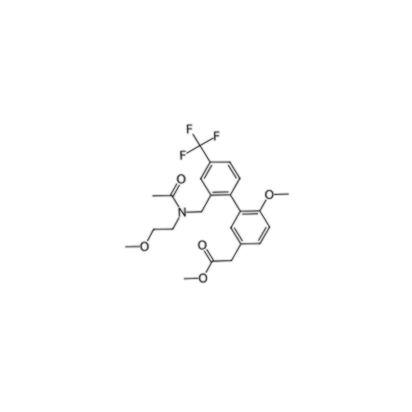 COCCN(Cc1cc(C(F)(F)F)ccc1-c1cc(CC(=O)OC)ccc1OC)C(C)=O